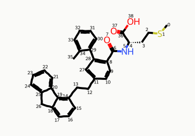 CSCC[C@H](NC(=O)c1ccc(CCc2cccc3c2-c2ccccc2C3)cc1-c1ccccc1C)C(=O)O